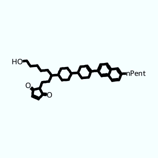 CCCCCc1ccc2cc(C3=CCC(C4CCC(C(CCCCCO)CCC5C(=O)C=CC5=O)CC4)CC3)ccc2c1